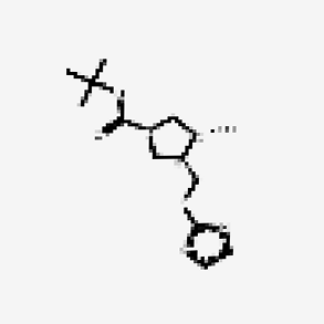 CC(C)(C)OC(=O)N1C[C@H](CSc2nccs2)[C@@H](O)C1